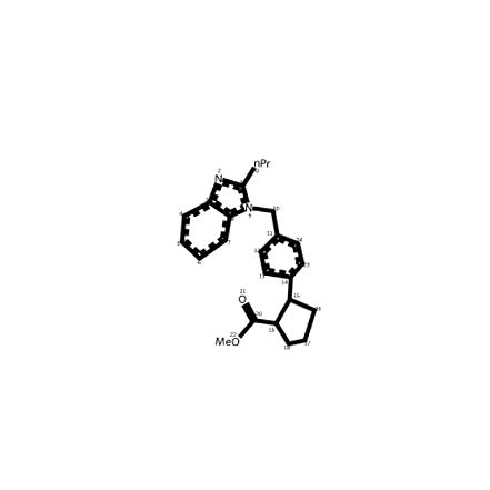 CCCc1nc2ccccc2n1Cc1ccc(C2CCCC2C(=O)OC)cc1